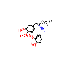 N[C@@H](Cc1ccc(O)c(O)c1)C(=O)O.Oc1ccccc1O